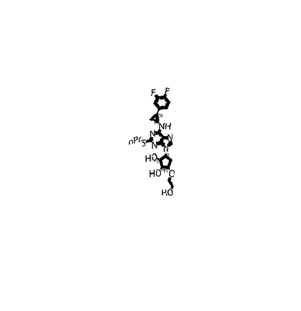 CCCSc1nc(N[C@@H]2C[C@H]2c2ccc(F)c(F)c2)c2ncn([C@@H]3C[C@H](OCCO)[C@@H](O)[C@H]3O)c2n1